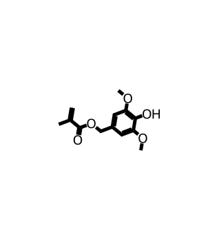 C=C(C)C(=O)OCc1cc(OC)c(O)c(OC)c1